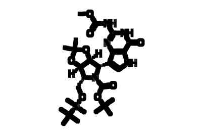 COC(=O)Nc1nc2c([C@H]3[C@@H]4OC(C)(C)O[C@@H]4[C@@H](CO[Si](C)(C)C(C)(C)C)N3C(=O)OC(C)(C)C)c[nH]c2c(=O)[nH]1